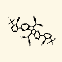 N#CC(C#N)=C1C2=C(C(=C(C#N)C#N)c3ccc(-c4cccc(C(F)(F)F)c4C#N)cc32)c2cc(-c3cccc(C(F)(F)F)c3C#N)ccc21